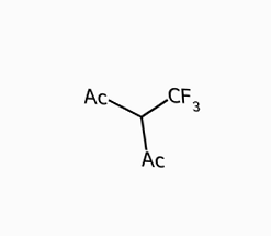 CC(=O)C(C(C)=O)C(F)(F)F